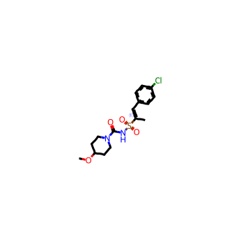 COC1CCN(C(=O)NS(=O)(=O)/C(C)=C/c2ccc(Cl)cc2)CC1